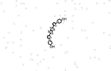 OC1CCN(c2ccc(-c3nc4sc(-c5ccc(N6CCC(O)CC6)s5)nc4s3)s2)CC1